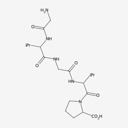 CC(C)C(NC(=O)CN)C(=O)NCC(=O)NC(C(=O)N1CCCC1C(=O)O)C(C)C